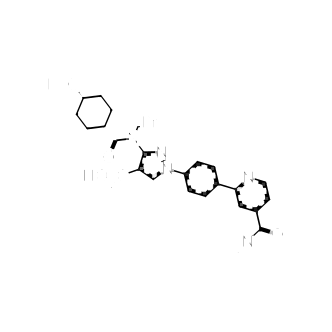 CC(C)N(c1nn(-c2ccc(-c3cc(C(N)=O)ccn3)cc2)cc1C(=O)O)C(=O)[C@H]1CC[C@H](C)CC1